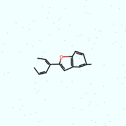 C/C=C\C(=C/C)c1cc2cc(C)ccc2o1